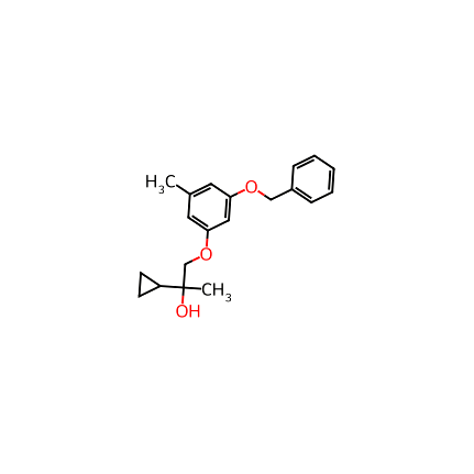 Cc1cc(OCc2ccccc2)cc(OCC(C)(O)C2CC2)c1